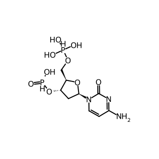 Nc1ccn([C@H]2C[C@H](O[PH](=O)O)[C@@H](CO[PH](O)(O)O)O2)c(=O)n1